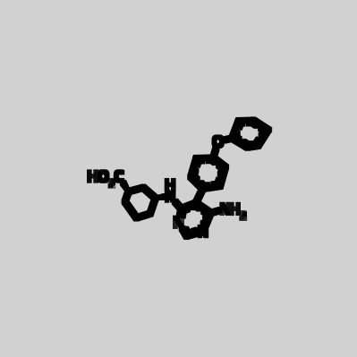 Nc1ncnc(N[C@H]2CCC[C@@H](C(=O)O)C2)c1-c1ccc(Oc2ccccc2)cc1